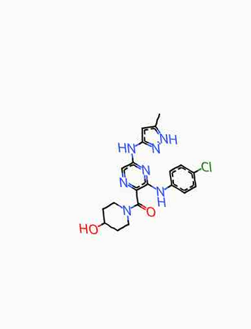 Cc1cc(Nc2cnc(C(=O)N3CCC(O)CC3)c(Nc3ccc(Cl)cc3)n2)n[nH]1